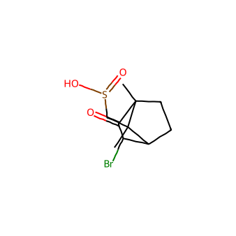 CC12CCC(C(Br)C1=O)C2(C)CS(=O)O